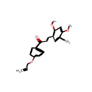 C=CCOc1ccc(C(=O)/C=C/c2cc(C)c(OC(C)C)cc2OC(C)C)cc1